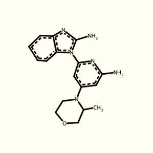 CC1COCCN1c1cc(N)nc(-n2c(N)nc3ccccc32)c1